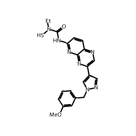 CCN(S)C(=O)Nc1ccc2ncc(-c3cnn(Cc4cccc(OC)c4)c3)nc2n1